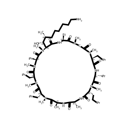 CC[C@@H]1NC(=O)[C@H]([C@H](O)[C@H](C)CCCCCCN)N(C)C(=O)[C@H](C(C)C)N(C)C(=O)[C@H](CC(C)C)N(C)C(=O)[C@@H](CC(C)C)N(C)C(=O)[C@H](C)NC(=O)[C@@H](C)NC(=O)[C@@H](CCC(C)C)N(C)C(=O)[C@@H](C(C)C)NC(=O)[C@H](CC(C)C)N(C)C(=O)CN(C)C1=O